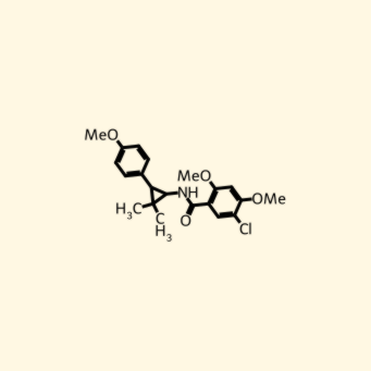 COc1ccc(C2C(NC(=O)c3cc(Cl)c(OC)cc3OC)C2(C)C)cc1